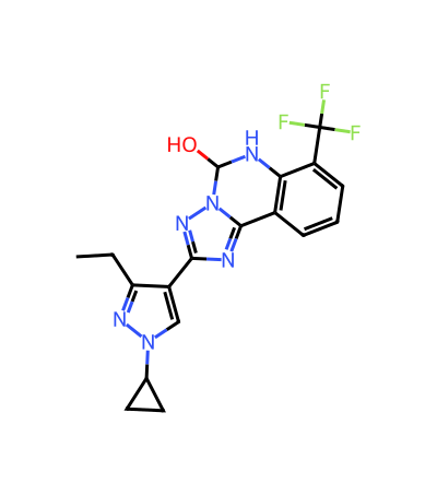 CCc1nn(C2CC2)cc1-c1nc2n(n1)C(O)Nc1c-2cccc1C(F)(F)F